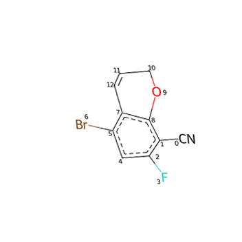 N#Cc1c(F)cc(Br)c2c1OCC=C2